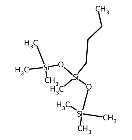 CCCC[Si](C)(O[Si](C)(C)C)O[Si](C)(C)C